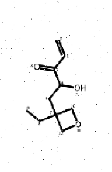 C=CC(=O)C(O)CC1(CC)COC1